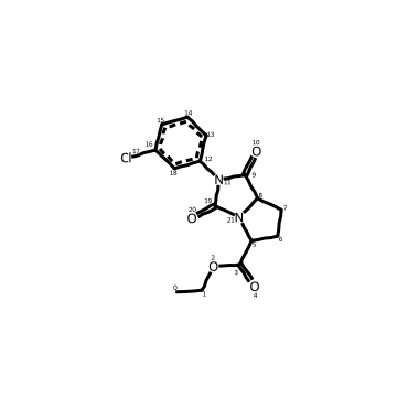 CCOC(=O)C1CCC2C(=O)N(c3cccc(Cl)c3)C(=O)N12